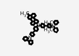 CC1=C(N(c2ccc(-c3ccc(N(c4ccc(-c5ccc(-n6c7ccccc7c7ccccc76)cc5)cc4)c4ccc5c6cccc7c(C)ccc(c8cccc4c85)c76)cc3)cc2)c2ccccc2C)C=CCC1